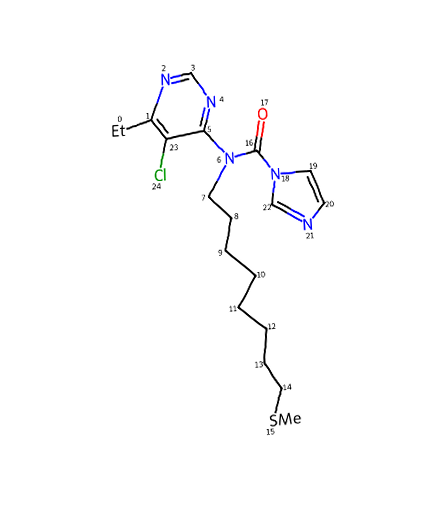 CCc1ncnc(N(CCCCCCCCSC)C(=O)n2ccnc2)c1Cl